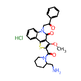 COc1c(C(=O)N2CCCCC2CN)sc2c1c(=O)n(CC(=O)c1ccccc1)c1ccccc21.Cl